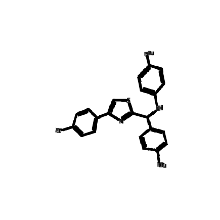 CCCCc1ccc(NC(c2ccc(CCCC)cc2)c2nc(-c3ccc(CC)cc3)cs2)cc1